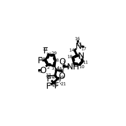 COc1c([C@H]2[C@H](C(=O)Nc3ccnc(CN(C)C)c3)O[C@@](C)(C(F)(F)F)[C@H]2C)ccc(F)c1F